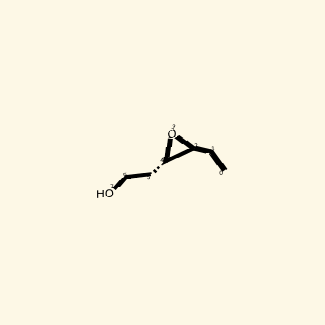 CCC1O[C@H]1CCO